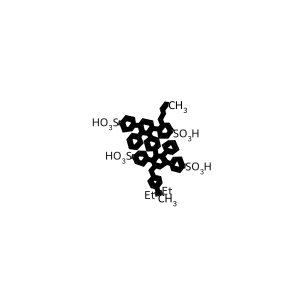 C/C=C\CCc1cc(S(=O)(=O)O)ccc1-c1ccc(-c2ccc(S(=O)(=O)O)cc2)c(-c2ccccc2)c1-c1ccc(-c2c(-c3ccc(S(=O)(=O)O)cc3)c(Cc3ccc(C(C)(CC)CC)cc3)cc(-c3ccc(S(=O)(=O)O)cc3)c2-c2ccccc2)cc1